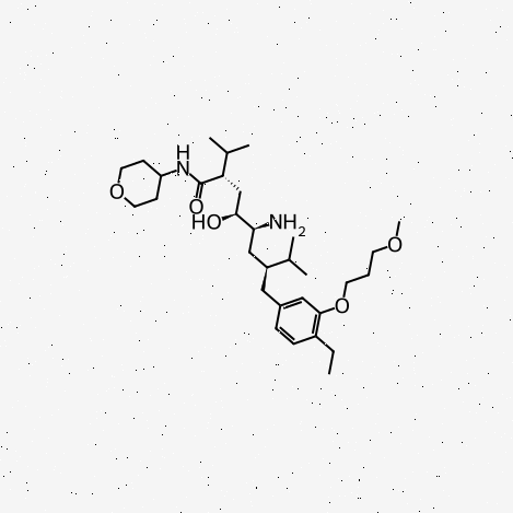 CCc1ccc(C[C@@H](C[C@H](N)[C@@H](O)C[C@H](C(=O)NC2CCOCC2)C(C)C)C(C)C)cc1OCCCOC